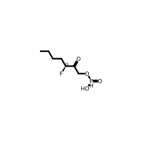 CCCC[C@H](F)C(=O)CO[PH](=O)O